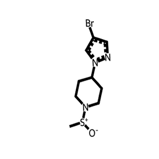 C[S+]([O-])N1CCC(n2cc(Br)cn2)CC1